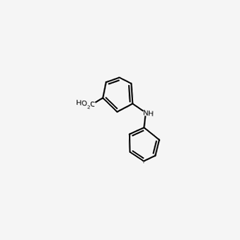 O=C(O)c1cccc(Nc2cc[c]cc2)c1